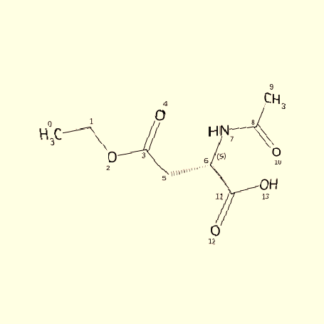 CCOC(=O)C[C@H](NC(C)=O)C(=O)O